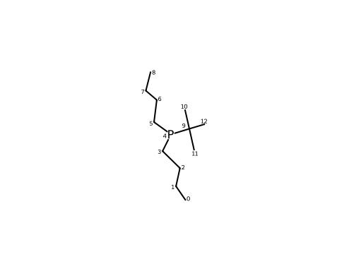 CCCCP(CCCC)C(C)(C)C